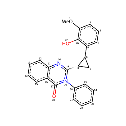 COc1cccc(C2C[C@@H]2c2nc3ccccc3c(=O)n2-c2ccccc2)c1O